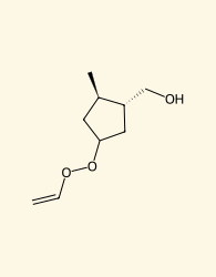 C=COOC1C[C@@H](CO)[C@H](C)C1